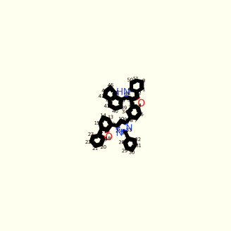 C1=CC2=c3oc4ccc(-c5cc(-c6cccc7c6oc6ccccc67)nc(-c6ccccc6)n5)cc4c3=C(c3cccc4ccccc34)NC2C=C1